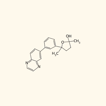 CC1(O)CCC(C)(c2cccc(-c3ccc4nccnc4c3)c2)O1